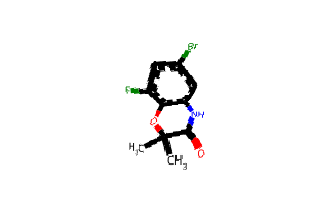 CC1(C)Oc2c(F)cc(Br)cc2NC1=O